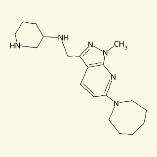 Cn1nc(CNC2CCCNC2)c2ccc(N3CCCCCC3)nc21